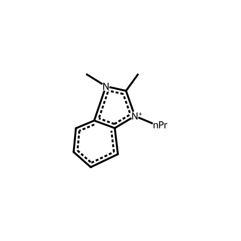 CCC[n+]1c(C)n(C)c2ccccc21